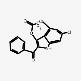 CC(=O)Oc1c(C(=O)c2ccccc2)[nH]c2cc(Cl)cc(Cl)c12